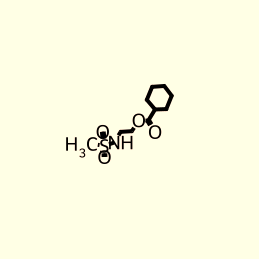 CS(=O)(=O)NCCOC(=O)C1CCCCC1